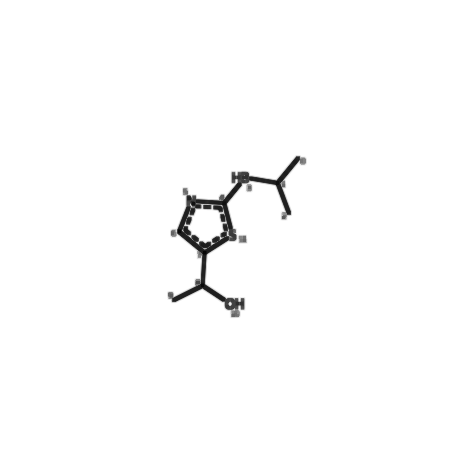 CC(C)Bc1ncc(C(C)O)s1